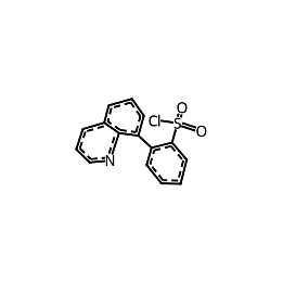 O=S(=O)(Cl)c1ccccc1-c1cccc2cccnc12